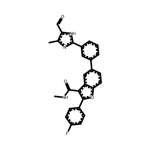 CNC(=O)c1c(-c2ccc(F)cc2)oc2ccc(-c3cccc(-c4nc(C)c(C=O)[nH]4)c3)cc12